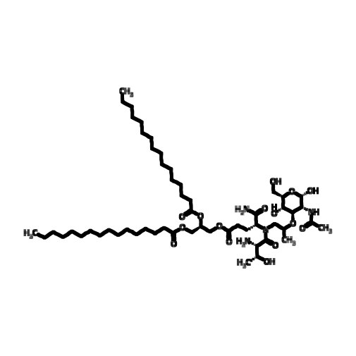 CCCCCCCCCCCCCCCC(=O)OC[C@H](COC(=O)CC[C@H](C(N)=O)N(CC(C)O[C@H]1[C@H](O)[C@@H](CO)O[C@H](O)[C@@H]1NC(C)=O)C(=O)[C@@H](N)[C@@H](C)O)OC(=O)CCCCCCCCCCCCCCC